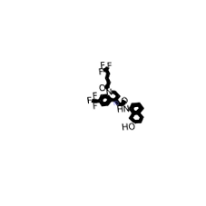 O=C(/C=C1\CCN(C(=O)CCCC(F)(F)F)c2cc(C(F)(F)F)ccc21)Nc1cccc2c1CC(O)CC2